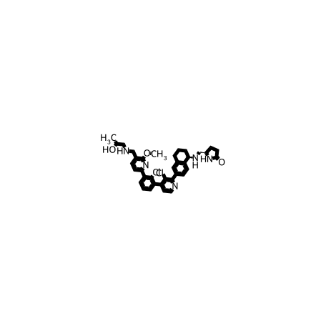 COc1nc(-c2cccc(-c3ccnc(-c4ccc5c(c4)CCC[C@H]5NC[C@@H]4CCC(=O)N4)c3Cl)c2Cl)ccc1CNCC(C)O